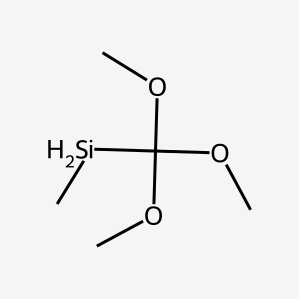 COC(OC)(OC)[SiH2]C